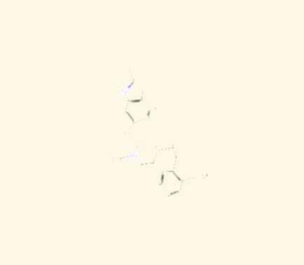 COc1cccc2c1CCCC2CN(C)CCc1ccc2oc(C)nc2c1.CS(=O)(=O)O